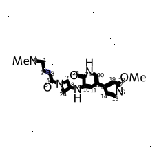 CNC/C=C/C(=O)N1CC(Nc2cc(-c3ccnc(OC)c3)c[nH]c2=O)C1